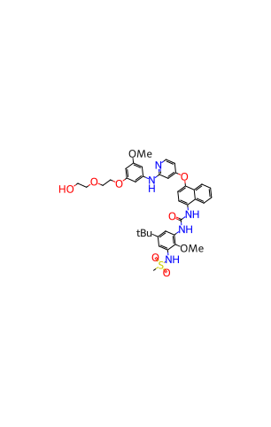 COc1cc(Nc2cc(Oc3ccc(NC(=O)Nc4cc(C(C)(C)C)cc(NS(C)(=O)=O)c4OC)c4ccccc34)ccn2)cc(OCCOCCO)c1